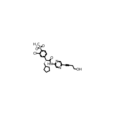 CS(=O)(=O)c1ccc([C@@H](CC2CCCC2)C(=O)Nc2cnc(C#CCCO)cn2)cc1Cl